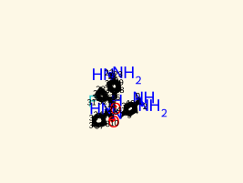 N=C(N)c1ccc(CNC(=O)C(NC(=O)C(Cc2ccc(C(=N)N)cc2)c2cccc(F)c2)C2CCCCC2)cc1